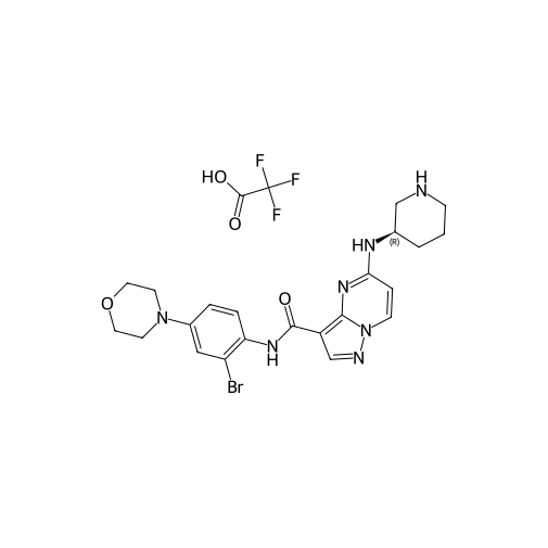 O=C(Nc1ccc(N2CCOCC2)cc1Br)c1cnn2ccc(N[C@@H]3CCCNC3)nc12.O=C(O)C(F)(F)F